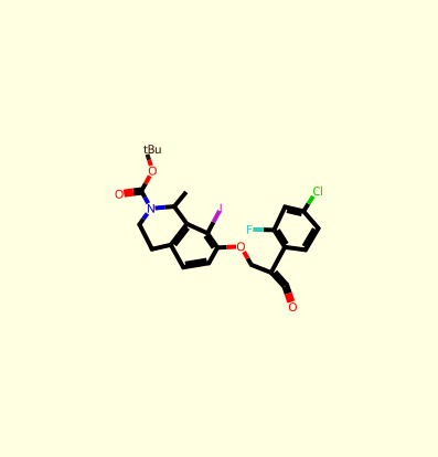 CC1c2c(ccc(OCC(=C=O)c3ccc(Cl)cc3F)c2I)CCN1C(=O)OC(C)(C)C